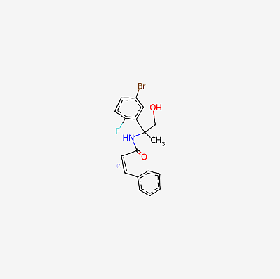 CC(CO)(NC(=O)/C=C\c1ccccc1)c1cc(Br)ccc1F